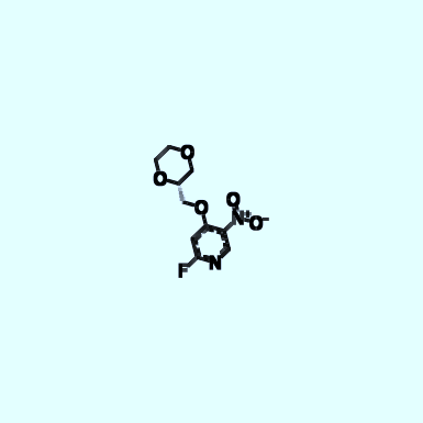 O=[N+]([O-])c1cnc(F)cc1OC[C@H]1COCCO1